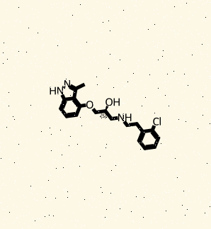 Cc1n[nH]c2cccc(OC[C@@H](O)CNCCc3ccccc3Cl)c12